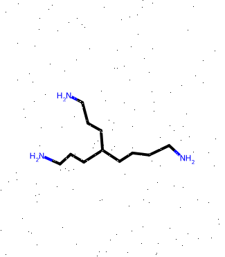 NCCCCC(CCCN)CCCN